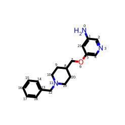 Nc1cncc(OCC2CCN(Cc3ccccc3)CC2)c1